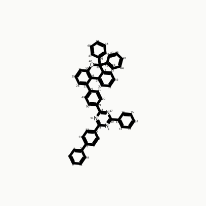 c1ccc(-c2ccc(-c3nc(-c4ccccc4)nc(-c4ccc(-c5cccc6c5-c5ccccc5C(c5ccccc5)(c5ccccc5)O6)cc4)n3)cc2)cc1